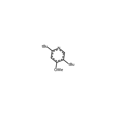 COc1cc(C(C)(C)C)ncc1C(C)(C)C